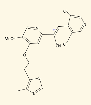 COc1cnc(/C(C#N)=C/c2c(Cl)cncc2Cl)cc1OCCc1scnc1C